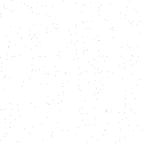 O=C1CCC(N2C(=O)c3cccc4c(Cc5ccc(CN6CCOCC6)cc5F)ccc2c34)C(=O)N1